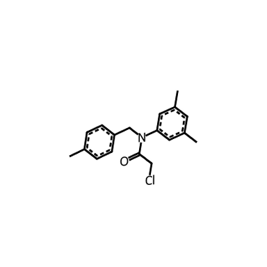 Cc1ccc(CN(C(=O)CCl)c2cc(C)cc(C)c2)cc1